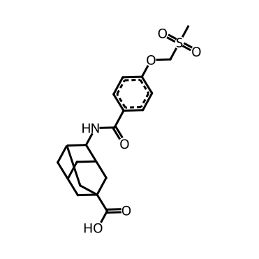 CS(=O)(=O)COc1ccc(C(=O)NC2C3CC4CC2CC(C(=O)O)(C4)C3)cc1